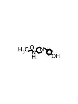 CCC(=O)NC1CCN(Cc2ccc(O)cc2)CC1